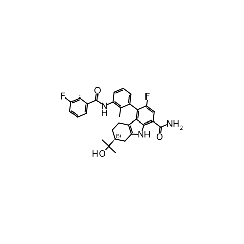 Cc1c(NC(=O)c2[c]c(F)ccc2)cccc1-c1c(F)cc(C(N)=O)c2[nH]c3c(c12)CC[C@H](C(C)(C)O)C3